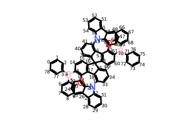 c1ccc(B2c3ccccc3Oc3c2ccc2c3-c3c(-n4c5ccccc5c5ccccc54)cccc3C23c2cccc(-n4c5ccccc5c5ccccc54)c2-c2c3ccc3c2Oc2ccccc2B3c2ccccc2)cc1